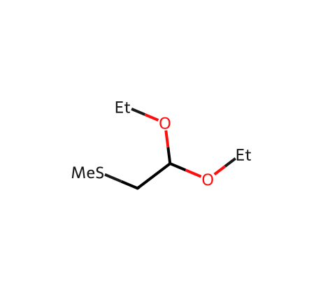 CCOC(CSC)OCC